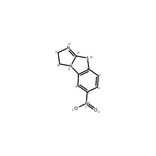 O=[N+]([O-])c1ccc2c(c1)N1CCN=C1S2